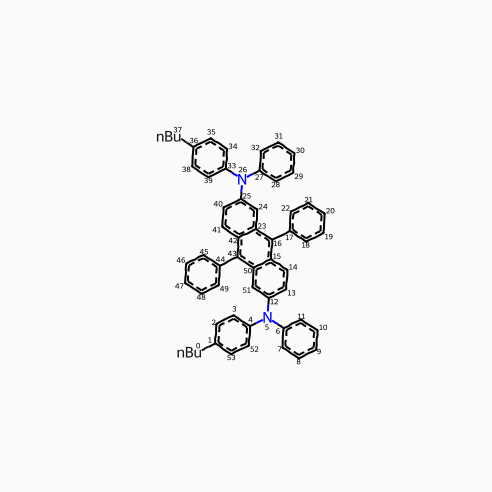 CCCCc1ccc(N(c2ccccc2)c2ccc3c(-c4ccccc4)c4cc(N(c5ccccc5)c5ccc(CCCC)cc5)ccc4c(-c4ccccc4)c3c2)cc1